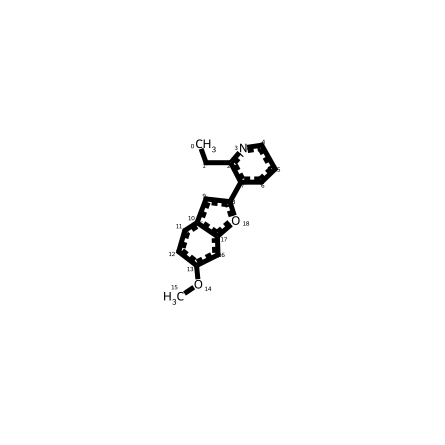 CCc1ncccc1-c1cc2ccc(OC)cc2o1